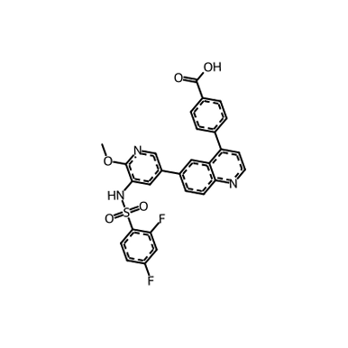 COc1ncc(-c2ccc3nccc(-c4ccc(C(=O)O)cc4)c3c2)cc1NS(=O)(=O)c1ccc(F)cc1F